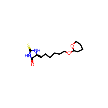 O=C1NC(=S)N/C1=C\CCCCCOC1CCCCO1